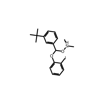 C[SiH](C)OC(Oc1ccccc1I)c1cccc(C(C)(C)C)c1